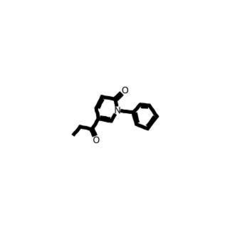 CCC(=O)c1ccc(=O)n(-c2ccccc2)c1